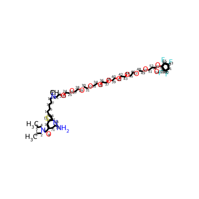 CCCN(CCC)C(=O)C1=Cc2sc(CCCCCN(C)CCOCCOCCOCCOCCOCCOCCOCCOCCOCCOCCC(=O)Oc3c(F)c(F)cc(F)c3F)cc2N=C(N)C1